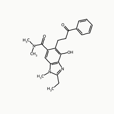 CCc1nc2c(O)c(CCC(=O)c3ccccc3)c(C(=O)N(C)C)cc2n1C